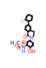 CS(=O)(=O)Nc1cc(N2CCc3cc(-c4ccccc4F)ccc3C2=O)ccc1O